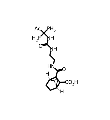 CC(=O)C(P)(P)NC(=O)NCCNC(=O)C1C(C(=O)O)[C@H]2CC[C@@H]1O2